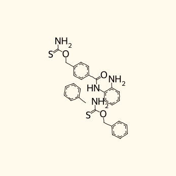 Cc1ccccc1.NC(=S)OCc1ccc(C(=O)Nc2ccccc2N)cc1.NC(=S)OCc1ccccc1